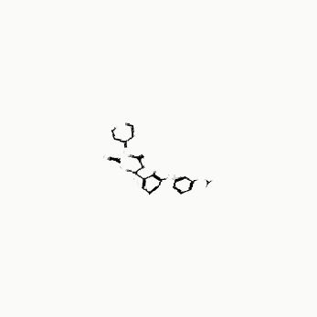 C[C@@]1(c2cccc(Nc3cccc(OC(F)F)c3)c2Cl)CC(=O)N(C2CCOCC2)C(=N)N1